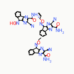 C=CCON=C1c2ccccc2-c2nc(C(N)=O)c(C#N)nc21.CCON=C1c2ccccc2-c2nc(C(N)=O)c(C#N)nc21.N#Cc1nc2c(nc1C(N)=O)-c1ccccc1C2=NO